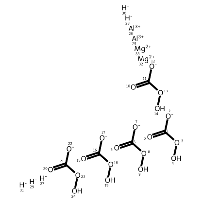 O=C([O-])OO.O=C([O-])OO.O=C([O-])OO.O=C([O-])OO.O=C([O-])OO.[Al+3].[Al+3].[H-].[H-].[H-].[H-].[H-].[Mg+2].[Mg+2]